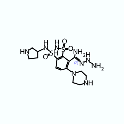 NN/N=C(\N)c1c(N2CCNCC2)ccc2c1S(=O)(=O)N[SH]2(=O)NC1CCNC1